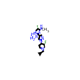 CNC1=NC(N)(c2cnn([C@@H]3CCN(CC4CC4)C[C@H]3F)c2)NC=C1F